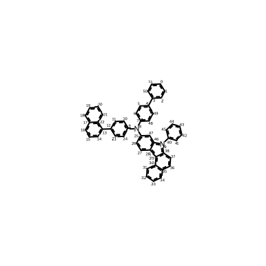 c1ccc(-c2ccc(N(c3ccc(-c4cccc5ccccc45)cc3)c3ccc4c5c6ccccc6ccc5n(-c5ccccc5)c4c3)cc2)cc1